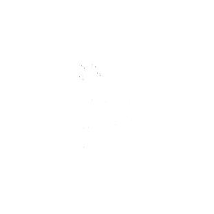 COc1cccc(-c2cc(-c3nnn[nH]3)sc2-c2cccc(OC)c2OC)c1OC